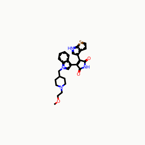 COCCN1CCC(Cn2cc(C3=C(c4c[nH]c5sccc45)C(=O)NC3=O)c3ccccc32)CC1